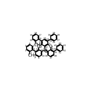 Cc1ccccc1-c1cccc2c1Oc1c(-c3ccccc3C)cc(-c3ccccc3)c3c1P2(=O)c1cccc(-c2ccccc2)c1O3